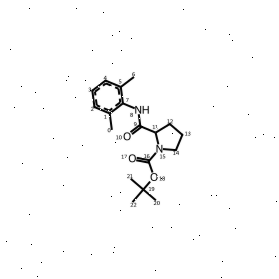 Cc1cccc(C)c1NC(=O)C1CCCN1C(=O)OC(C)(C)C